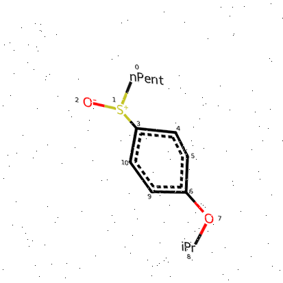 [CH2]CCCC[S+]([O-])c1ccc(OC(C)C)cc1